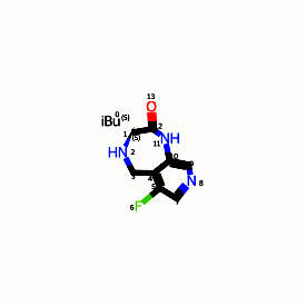 CC[C@H](C)[C@@H]1NCc2c(F)cncc2NC1=O